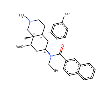 COC1C[C@H](N(CC(C)C)C(=O)c2ccc3ccccc3c2)C[C@]2(c3cccc(OC(C)=O)c3)CCN(C)C[C@@H]12